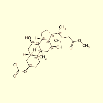 COC(=O)CC[C@@H](C)[C@H]1CC[C@H]2[C@@H]3[C@H](O)C[C@H]4C[C@H](OC(=O)Cl)CC[C@]4(C)[C@H]3C[C@H](O)[C@]12C